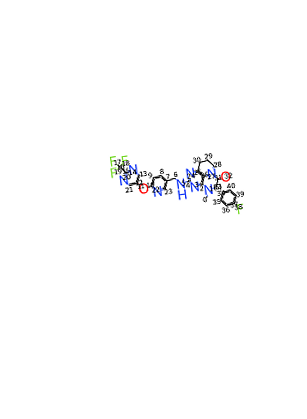 CN1c2nc(NCc3ccc(Oc4cnc(C(F)(F)F)nc4)nc3)nc3c2N(CCC3)C(=O)[C@@H]1c1ccc(F)cc1